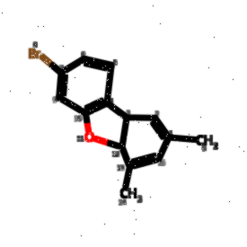 CC1=CC2c3ccc(Br)cc3OC2C(C)=C1